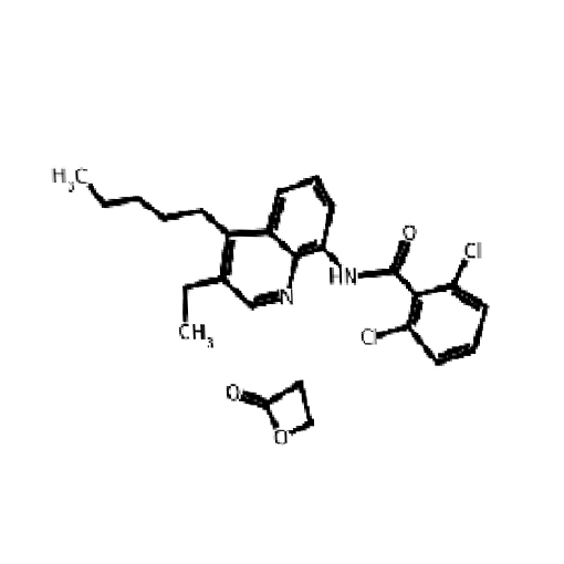 CCCCCc1c(CC)cnc2c(NC(=O)c3c(Cl)cccc3Cl)cccc12.O=C1CCO1